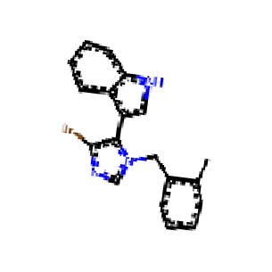 Cc1ccccc1Cn1cnc(Br)c1-c1c[nH]c2ccccc12